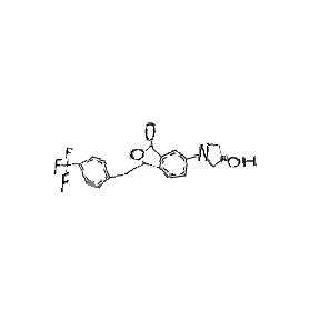 O=C1OC(Cc2ccc(C(F)(F)F)cc2)c2ccc(N3CC[C@@H](O)C3)cc21